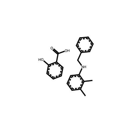 Cc1cccc(NCc2ccccc2)c1C.O=C(O)c1ccccc1O